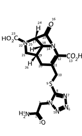 NC(=O)Cn1nnnc1SCC1=C(C(=O)O)N2C(=O)[C@@H]3[C@H]2[C@H](C1)CN3C(=O)O